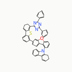 C1=Cc2c(n(-c3cccc4oc5cc(-c6cccc7c8c(sc67)=C(c6nc(-c7ccccc7)nc(-c7ccccc7)n6)CCC=8)ccc5c34)c3ccccc23)CC1